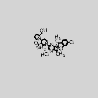 Cc1nn([C@H](C)c2ccc(Cl)cc2Cl)c2nc(N3CC[C@H](N4CCC[C@H]4CO)[C@H](C(N)=O)C3)cnc12.Cl